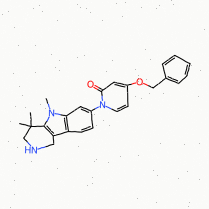 Cn1c2c(c3ccc(-n4ccc(OCc5ccccc5)cc4=O)cc31)CNCC2(C)C